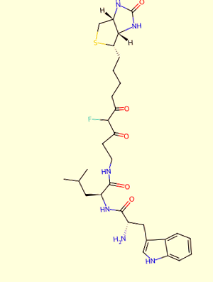 CC(C)C[C@H](NC(=O)[C@@H](N)Cc1c[nH]c2ccccc12)C(=O)NCCC(=O)C(F)C(=O)CCCC[C@@H]1SC[C@@H]2NC(=O)N[C@@H]21